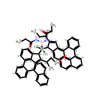 CCC(=O)N[B](NC(=O)CC)[Hf]([Cl])([Cl])([CH]1C(C(C)CC)=Cc2c(-c3ccccc3-c3cccc4ccccc34)cccc21)[CH]1C(C(C)CC)=Cc2c(-c3ccccc3-c3cccc4ccccc34)cccc21